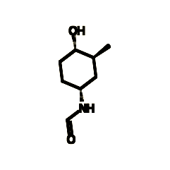 C[C@H]1C[C@H](NC=O)CC[C@@H]1O